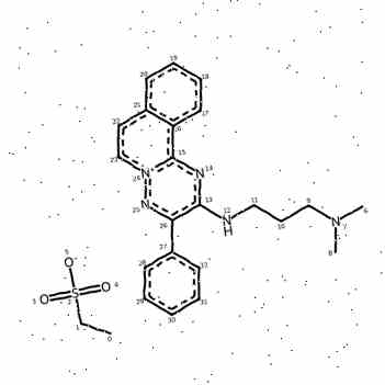 CCS(=O)(=O)[O-].CN(C)CCCNc1nc2c3ccccc3cc[n+]2nc1-c1ccccc1